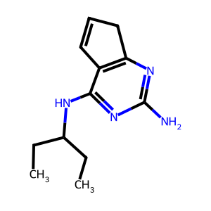 CCC(CC)Nc1nc(N)nc2c1C=CC2